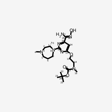 C[C@H]1CN(C)CCCN1c1nc(OCCN(C)C(=O)OC(C)(C)C)cc(/C(N)=N/O)n1